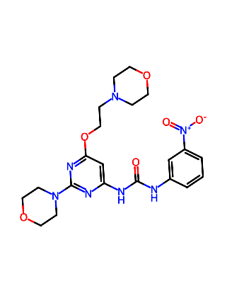 O=C(Nc1cccc([N+](=O)[O-])c1)Nc1cc(OCCN2CCOCC2)nc(N2CCOCC2)n1